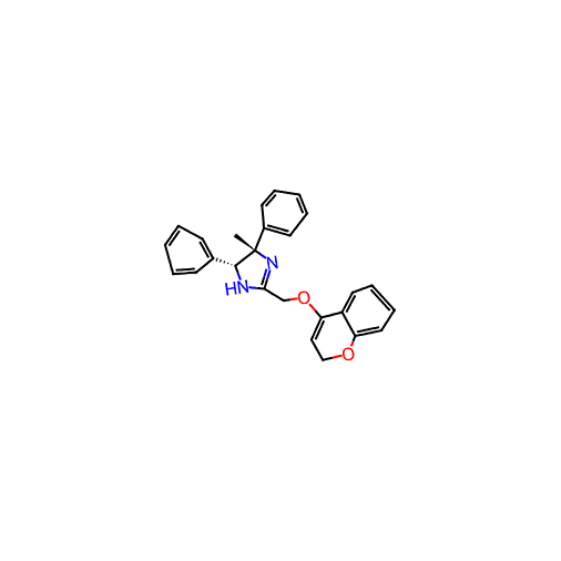 C[C@@]1(c2ccccc2)N=C(COC2=CCOc3ccccc32)N[C@@H]1c1ccccc1